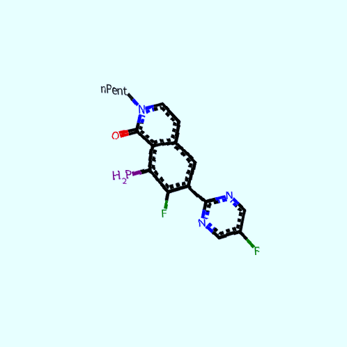 CCCCCn1ccc2cc(-c3ncc(F)cn3)c(F)c(P)c2c1=O